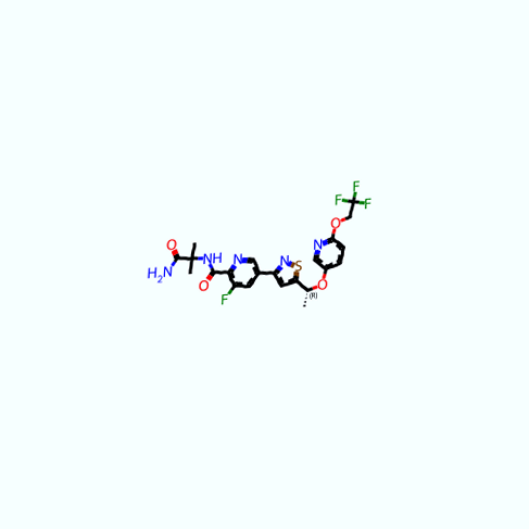 C[C@@H](Oc1ccc(OCC(F)(F)F)nc1)c1cc(-c2cnc(C(=O)NC(C)(C)C(N)=O)c(F)c2)ns1